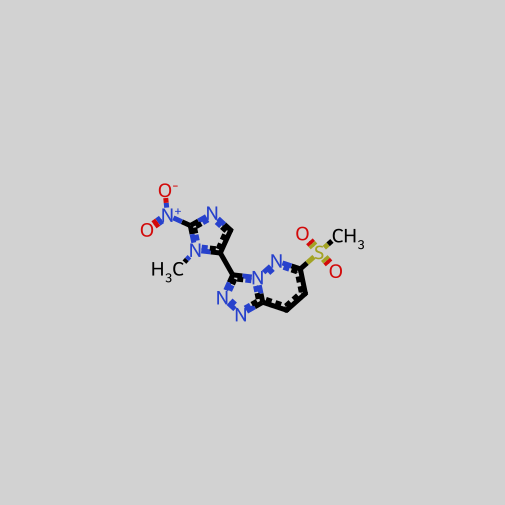 Cn1c(-c2nnc3ccc(S(C)(=O)=O)nn23)cnc1[N+](=O)[O-]